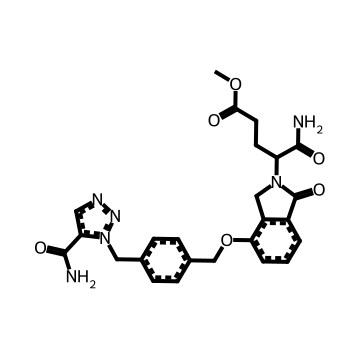 COC(=O)CCC(C(N)=O)N1Cc2c(OCc3ccc(Cn4nncc4C(N)=O)cc3)cccc2C1=O